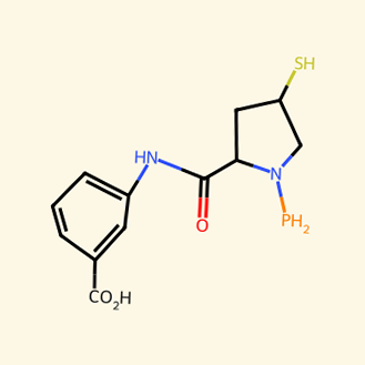 O=C(O)c1cccc(NC(=O)C2CC(S)CN2P)c1